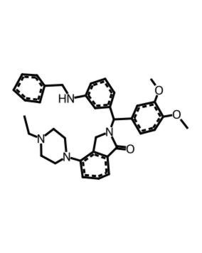 CCN1CCN(c2cccc3c2CN(C(c2cccc(NCc4ccccc4)c2)c2ccc(OC)c(OC)c2)C3=O)CC1